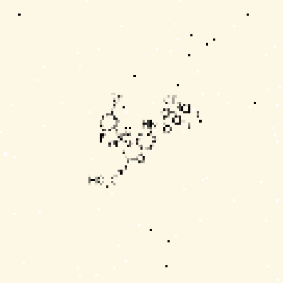 CC(C)(OC(=O)Nc1ccc2c(c1)N(S(=O)(=O)c1cc(C3CC3)ccc1F)C[C@H](CCC(=O)O)O2)C(F)(F)F